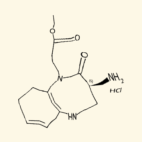 COC(=O)CN1C(=O)[C@@H](N)CNC2=C1CCC=C2.Cl